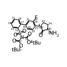 CC(C)(C)OC(=O)N(C(=O)OC(C)(C)C)S(=O)(=O)c1ccccc1-c1ccc(N2CC[C@H](N)C2=O)c(F)c1